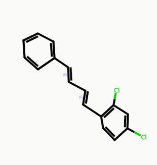 Clc1ccc(/C=C/C=C/c2ccccc2)c(Cl)c1